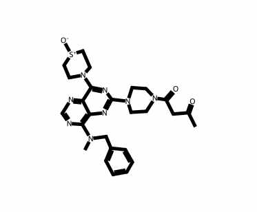 CC(=O)CC(=O)N1CCN(c2nc(N3CC[S+]([O-])CC3)c3ncnc(N(C)Cc4ccccc4)c3n2)CC1